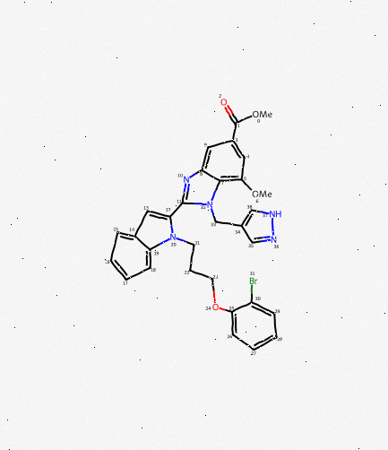 COC(=O)c1cc(OC)c2c(c1)nc(-c1cc3ccccc3n1CCCOc1ccccc1Br)n2Cc1cn[nH]c1